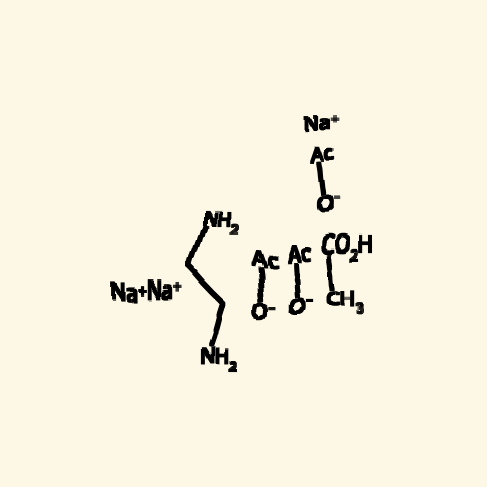 CC(=O)O.CC(=O)[O-].CC(=O)[O-].CC(=O)[O-].NCCN.[Na+].[Na+].[Na+]